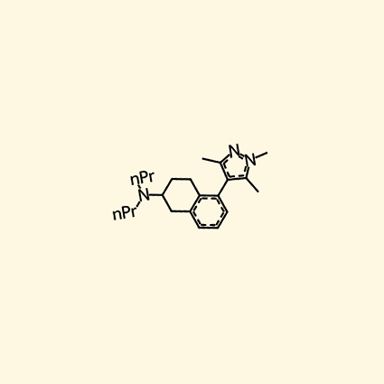 CCCN(CCC)C1CCc2c(cccc2-c2c(C)nn(C)c2C)C1